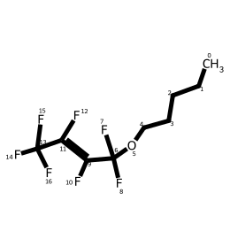 CCCCCOC(F)(F)C(F)=C(F)C(F)(F)F